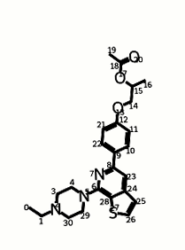 CCN1CCN(c2nc(-c3ccc(OCC(C)OC(C)=O)cc3)cc3ccsc23)CC1